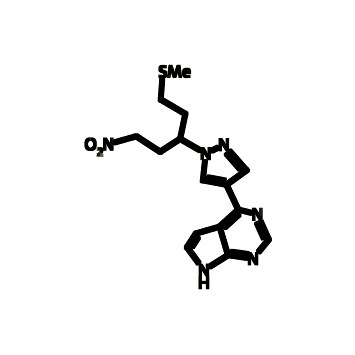 CSCCC(CC[N+](=O)[O-])n1cc(-c2ncnc3[nH]ccc23)cn1